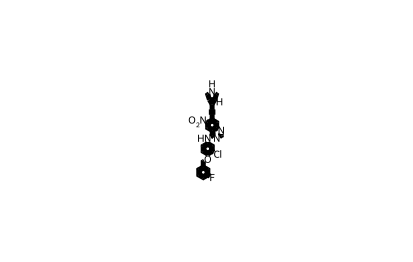 O=[N+]([O-])c1cc2c(Nc3ccc(OCc4cccc(F)c4)c(Cl)c3)ncnc2cc1C#CC1C2CNC[C@@H]12